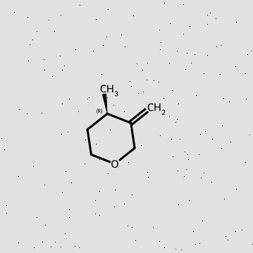 C=C1COCC[C@H]1C